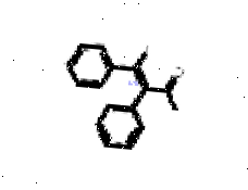 CC(=O)/C(=C(\I)c1ccccc1)c1ccccc1